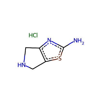 Cl.Nc1nc2c(s1)CNC2